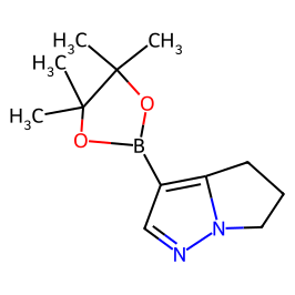 CC1(C)OB(c2cnn3c2CCC3)OC1(C)C